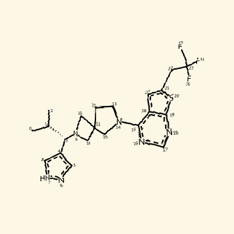 CC(C)[C@@H](c1cn[nH]c1)N1CC2(CCN(c3ncnc4sc(CC(F)(F)F)cc34)C2)C1